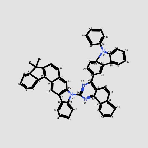 CC1(C)c2ccccc2-c2c1ccc1cc3c(cc21)c1ccccc1n3-c1nc(-c2ccc3c(c2)c2ccccc2n3-c2ccccc2)c2ccc3ccccc3c2n1